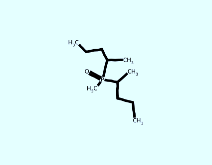 CCCC(C)P(C)(=O)C(C)CCC